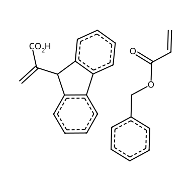 C=C(C(=O)O)C1c2ccccc2-c2ccccc21.C=CC(=O)OCc1ccccc1